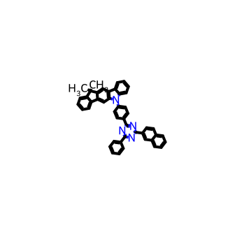 CC1(C)c2ccccc2-c2cc3c(cc21)c1ccccc1n3-c1ccc(-c2nc(-c3ccccc3)nc(-c3ccc4ccccc4c3)n2)cc1